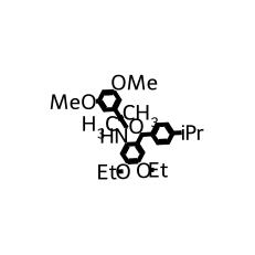 CCOc1cc(NCC(C)(C)c2cc(OC)cc(OC)c2)c(C(=O)c2ccc(C(C)C)cc2)cc1OCC